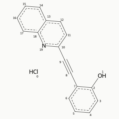 Cl.Oc1ccccc1C#Cc1ccc2ccccc2n1